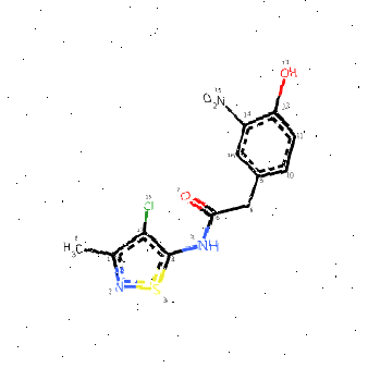 Cc1nsc(NC(=O)Cc2ccc(O)c([N+](=O)[O-])c2)c1Cl